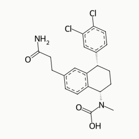 CN(C(=O)O)[C@H]1CC[C@@H](c2ccc(Cl)c(Cl)c2)c2cc(CCC(N)=O)ccc21